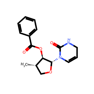 C[C@H]1CO[C@@H](N2C=CCNC2=O)[C@@H]1OC(=O)c1ccccc1